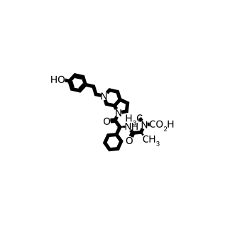 C[C@@H](C(=O)N[C@H](C(=O)N1CCC2CCN(CCc3ccc(O)cc3)CC21)C1CCCCC1)N(C)C(=O)O